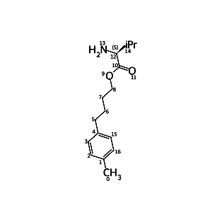 Cc1ccc(CCCCOC(=O)[C@@H](N)C(C)C)cc1